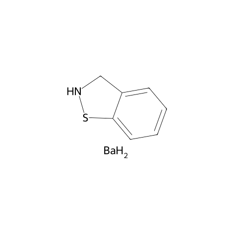 [BaH2].c1ccc2c(c1)CNS2